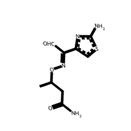 CC(CC(N)=O)ON=C([C]=O)c1csc(N)n1